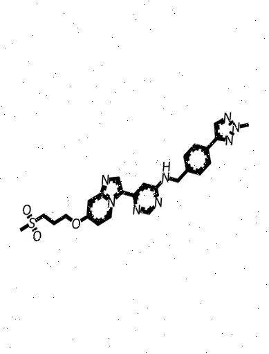 Cn1ncc(-c2ccc(CNc3cc(-c4cnc5cc(OCCCS(C)(=O)=O)ccn45)ncn3)cc2)n1